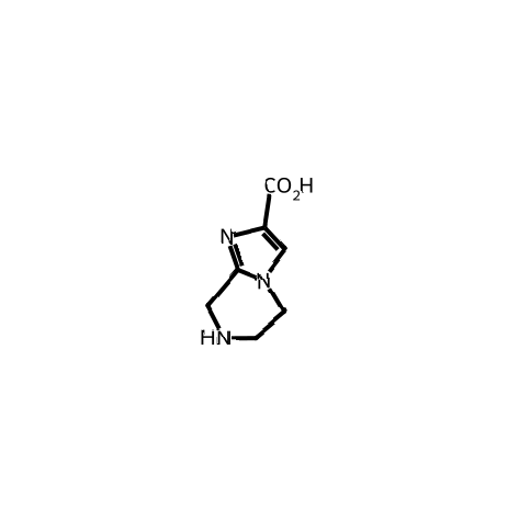 O=C(O)c1cn2c(n1)CNCC2